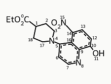 CCOC(=O)C1CCN(c2ccnc3c(O)ccc([N+](=O)[O-])c23)CC1